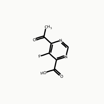 CC(=O)c1ncnc(C(=O)O)c1F